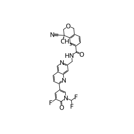 C[C@@]1(C#N)COCc2ccc(C(=O)NCc3cc4nc(-c5cc(F)c(=O)n(C(F)F)c5)ccc4cn3)cc21